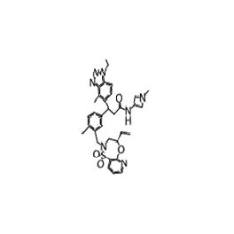 CC[C@@H]1CN(Cc2cc(C(CC(=O)NC3CN(C)C3)c3ccc4c(nnn4CC)c3C)ccc2C)S(=O)(=O)c2cccnc2O1